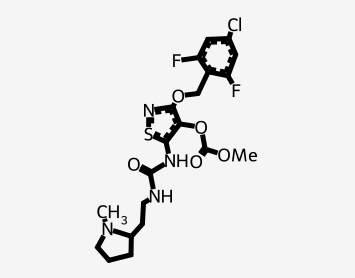 COC(=O)Oc1c(OCc2c(F)cc(Cl)cc2F)nsc1NC(=O)NCCC1CCCN1C